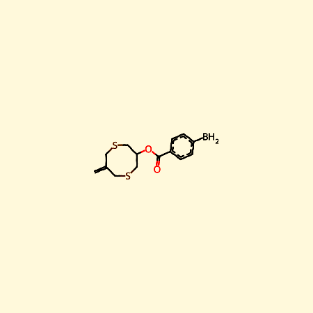 Bc1ccc(C(=O)OC2CSCC(=C)CSC2)cc1